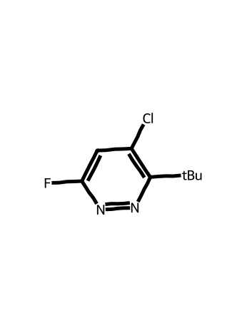 CC(C)(C)c1nnc(F)cc1Cl